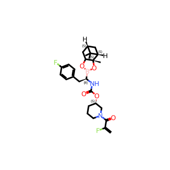 C=C(F)C(=O)N1CCC[C@H](OC(=O)N[C@@H](Cc2ccc(F)cc2)B2OC3C[C@@H]4C[C@@H](C4(C)C)[C@]3(C)O2)C1